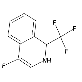 FC1=CNC(C(F)(F)F)c2ccccc21